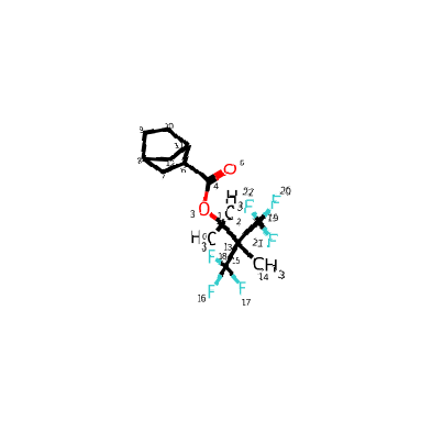 CC(C)(OC(=O)C1CC2CCC1C2)C(C)(C(F)(F)F)C(F)(F)F